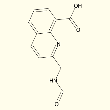 O=CNCc1ccc2cccc(C(=O)O)c2n1